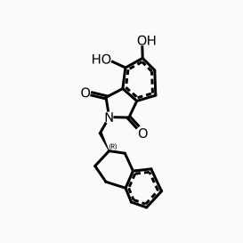 O=C1c2ccc(O)c(O)c2C(=O)N1C[C@@H]1CCc2ccccc2C1